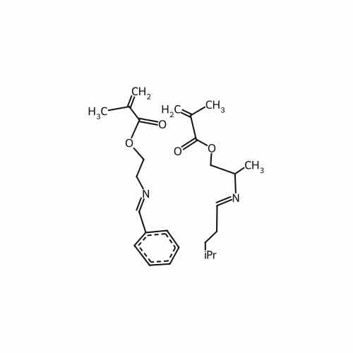 C=C(C)C(=O)OCC(C)N=CCCC(C)C.C=C(C)C(=O)OCCN=Cc1ccccc1